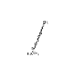 CCCCCCCCCOCCOCCOCCOCCCC(=O)OCC(C)C